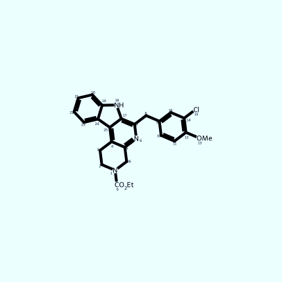 CCOC(=O)N1CCc2c(nc(Cc3ccc(OC)c(Cl)c3)c3[nH]c4ccccc4c23)C1